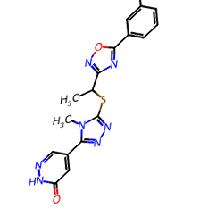 Cc1cccc(-c2nc(C(C)Sc3nnc(-c4cn[nH]c(=O)c4)n3C)no2)c1